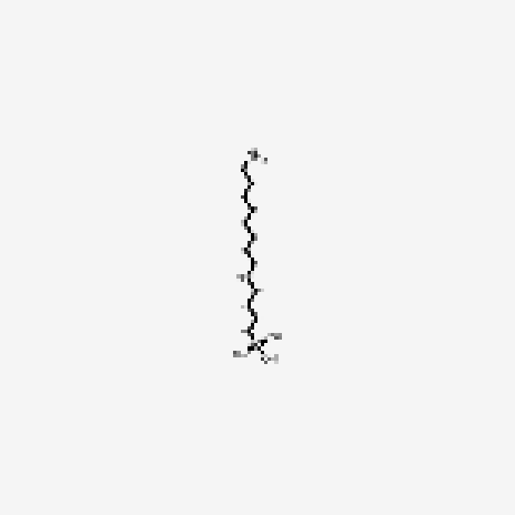 NCCCCCCCCNCCCCS(=O)(=O)O